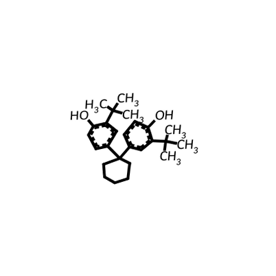 CC(C)(C)c1cc(C2(c3ccc(O)c(C(C)(C)C)c3)CCCCC2)ccc1O